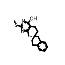 CSc1nc(O)c2c(n1)C[C@]1(CCc3ccccc3C1)CC2